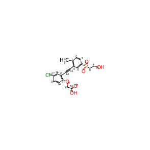 Cc1ccc(S(=O)(=O)CCO)cc1C#Cc1cc(Cl)ccc1OCC(=O)O